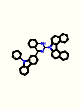 c1ccc(-n2c3ccccc3c3ccc(C4=NC(n5c6ccc7ccccc7c6c6c7ccccc7ccc65)Nc5ccccc54)cc32)cc1